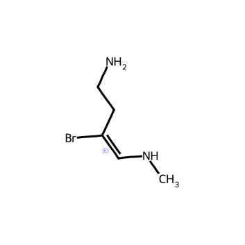 CN/C=C(/Br)CCN